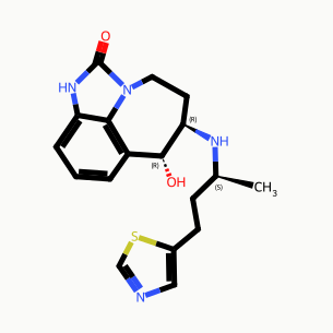 C[C@@H](CCc1cncs1)N[C@@H]1CCn2c(=O)[nH]c3cccc(c32)[C@H]1O